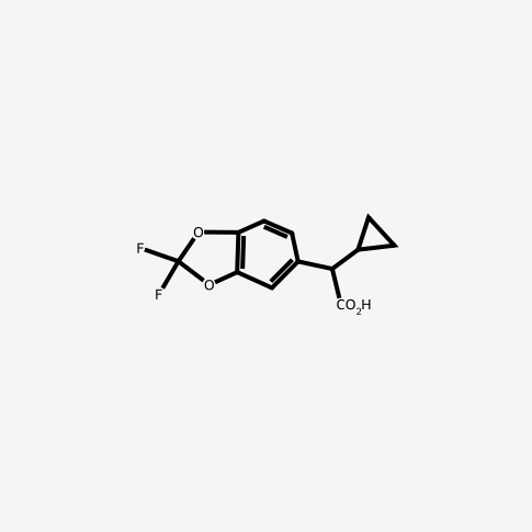 O=C(O)C(c1ccc2c(c1)OC(F)(F)O2)C1CC1